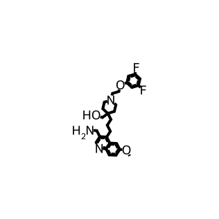 COc1ccc2ncc(CN)c(CCCC3(CO)CCN(CCOc4cc(F)cc(F)c4)CC3)c2c1